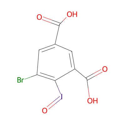 O=Ic1c(Br)cc(C(=O)O)cc1C(=O)O